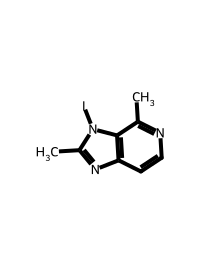 Cc1nccc2nc(C)n(I)c12